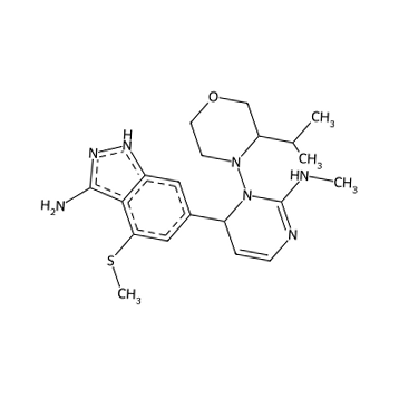 CNC1=NC=CC(c2cc(SC)c3c(N)n[nH]c3c2)N1N1CCOCC1C(C)C